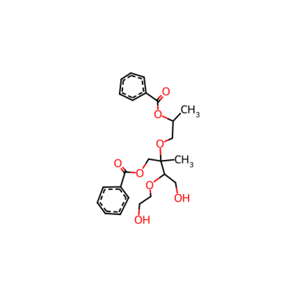 CC(COC(C)(COC(=O)c1ccccc1)C(CO)OCCO)OC(=O)c1ccccc1